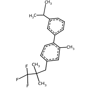 Cc1cc(CC(C)(C)C(F)(F)F)ccc1-c1cccc(C(C)C)c1